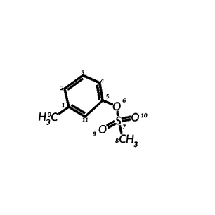 Cc1cccc(OS(C)(=O)=O)c1